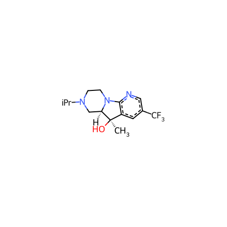 CC(C)N1CCN2c3ncc(C(F)(F)F)cc3[C@@](C)(O)[C@H]2C1